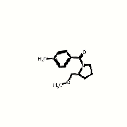 COCC1CCCN1C(=O)c1ccc(C)cc1